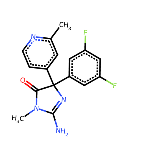 Cc1cc(C2(c3cc(F)cc(F)c3)N=C(N)N(C)C2=O)ccn1